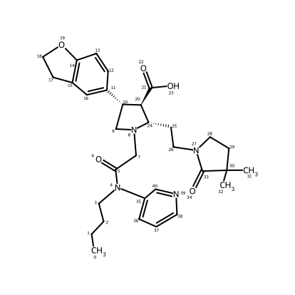 CCCCN(C(=O)CN1C[C@H](c2ccc3c(c2)CCO3)[C@@H](C(=O)O)[C@@H]1CCN1CCC(C)(C)C1=O)c1cccnc1